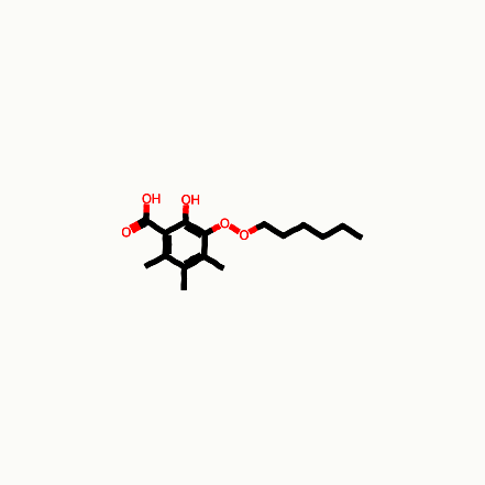 CCCCCCOOc1c(C)c(C)c(C)c(C(=O)O)c1O